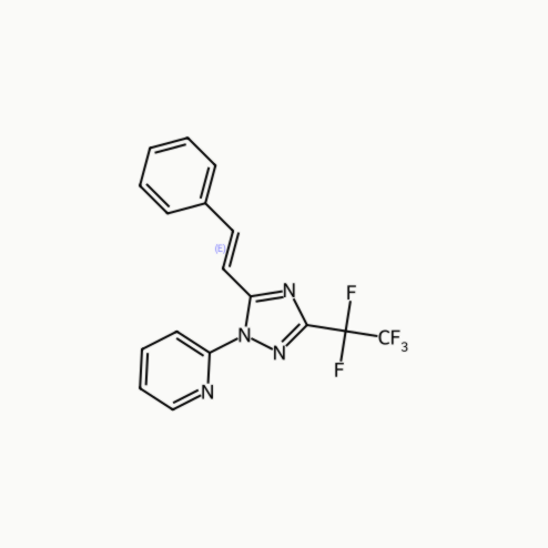 FC(F)(F)C(F)(F)c1nc(/C=C/c2ccccc2)n(-c2ccccn2)n1